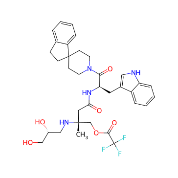 C[C@](COC(=O)C(F)(F)F)(CC(=O)N[C@H](Cc1c[nH]c2ccccc12)C(=O)N1CCC2(CCc3ccccc32)CC1)NC[C@@H](O)CO